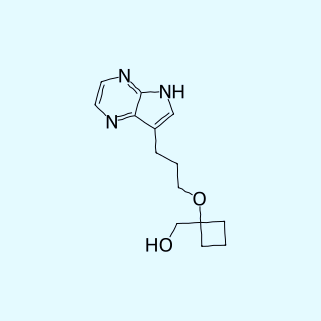 OCC1(OCCCc2c[nH]c3nccnc23)CCC1